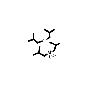 CC(C)[CH2][Al+][CH2]C(C)C.CC(C)[CH2][Al+][CH2]C(C)C.[O-2]